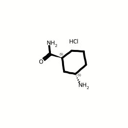 Cl.NC(=O)[C@H]1CCC[C@H](N)C1